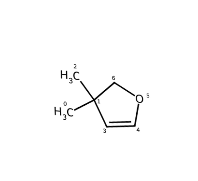 CC1(C)C=COC1